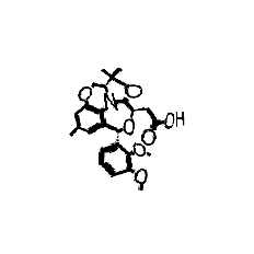 COc1cccc([C@H]2O[C@H](CC(=O)O)C(=O)N3c4c(cc(C)cc42)OC[C@H]3C(C)(C)C)c1OC